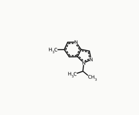 Cc1cnc2cnn(C(C)C)c2c1